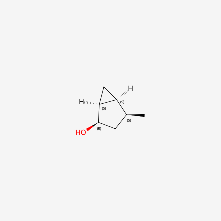 C[C@H]1C[C@@H](O)[C@H]2C[C@H]21